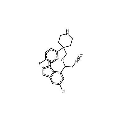 [C-]#[N+]CC(OCC1(c2ccc(F)cc2)CCNCC1)c1cc(Cl)cc2cn[nH]c12